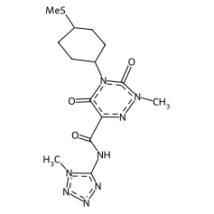 CSC1CCC(n2c(=O)c(C(=O)Nc3nnnn3C)nn(C)c2=O)CC1